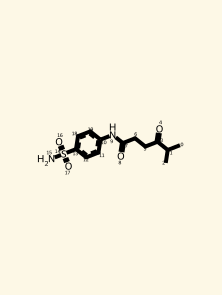 CC(C)C(=O)CCC(=O)Nc1ccc(S(N)(=O)=O)cc1